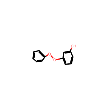 Oc1cccc(OOc2ccccc2)c1